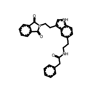 O=C(Cc1ccccc1)NCCc1ccc2[nH]cc(CCN3C(=O)c4ccccc4C3=O)c2c1